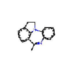 CC1=Nc2ccccc2N2CCc3cccc1c32